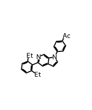 CCc1cccc(CC)c1-c1cc2ccn(-c3ccc(C(C)=O)cc3)c2cn1